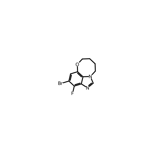 Fc1c(Br)cc2c3c1ncn3CCCCO2